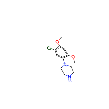 COc1cc(OC)c(N2CCNCC2)cc1Cl